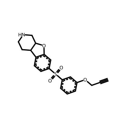 C#CCOc1cccc(S(=O)(=O)c2ccc3c(c2)OC2CNCCC32)c1